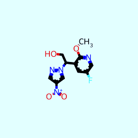 COc1ncc(F)cc1C(CO)n1cc([N+](=O)[O-])cn1